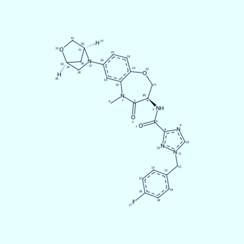 CN1C(=O)[C@H](NC(=O)c2ncn(Cc3ccc(F)cc3)n2)COc2ccc(N3C[C@@H]4C[C@H]3CO4)cc21